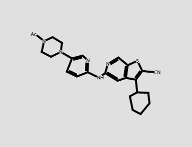 CC(=O)N1CCN(c2ccc(Nc3cc4c(C5CCCCC5)c(C#N)sc4cn3)nc2)CC1